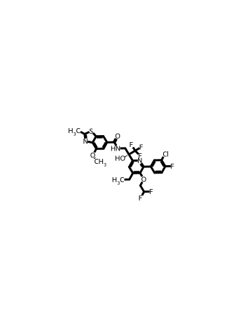 CCc1cc([C@@](O)(CNC(=O)c2cc(OC)c3nc(C)sc3c2)C(F)(F)F)nc(-c2ccc(F)c(Cl)c2)c1OCC(F)F